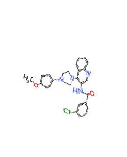 COc1ccc(N2CCN(c3c(NC(=O)c4cccc(Cl)c4)cnc4ccccc34)CC2)cc1